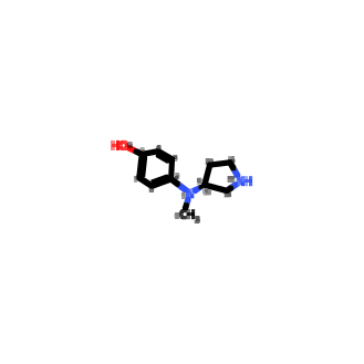 CN(c1ccc(O)cc1)[C@H]1CCNC1